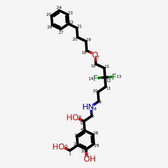 OCc1cc(C(O)CNCCCC(F)(F)CCOCCCCc2ccccc2)ccc1O